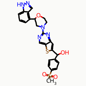 CS(=O)(=O)c1ccc(C(O)c2cc3nc(N4CCOC(c5cccc6[nH]ncc56)C4)ncc3s2)cc1